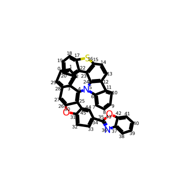 c1ccc2c(-n3c4ccccc4c4ccc5sc6ccccc6c5c43)c3c(cc2c1)oc1ccc(-c2nc4ccccc4o2)cc13